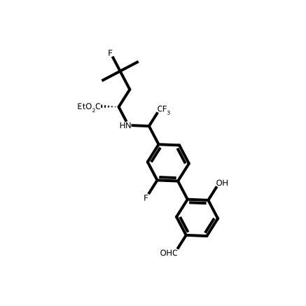 CCOC(=O)[C@H](CC(C)(C)F)NC(c1ccc(-c2cc(C=O)ccc2O)c(F)c1)C(F)(F)F